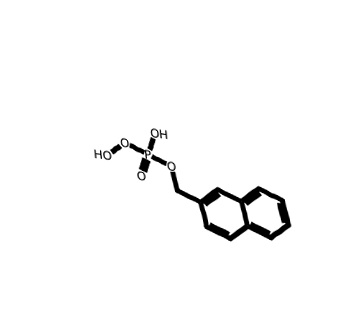 O=P(O)(OO)OCc1ccc2ccccc2c1